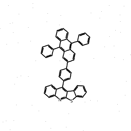 c1ccc(-c2c3ccccc3c(-c3ccccc3)c3cc(-c4ccc(-c5c6ccccc6nc6sc7ccccc7c56)cc4)ccc23)cc1